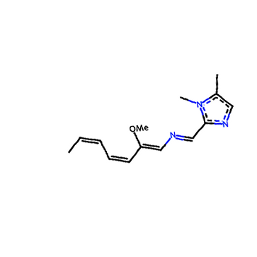 C\C=C/C=C\C(=C\N=C\c1ncc(C)n1C)OC